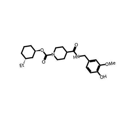 CC[C@@H]1CCC[C@@H](OC(=O)N2CCC(C(=O)NCc3ccc(O)c(OC)c3)CC2)C1